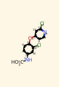 O=C(O)Nc1ccc(Oc2ccnc(Cl)c2)c(Cl)c1